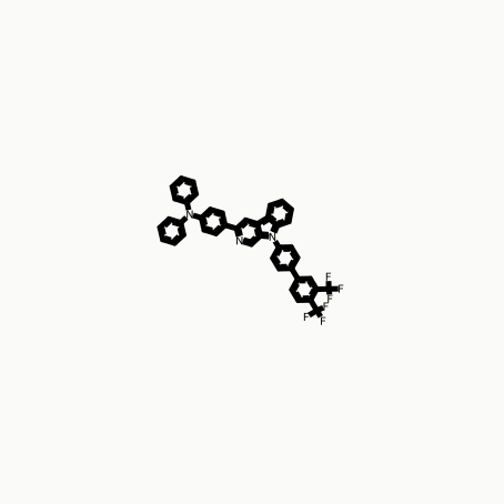 FC(F)(F)c1ccc(-c2ccc(-n3c4ccccc4c4cc(-c5ccc(N(c6ccccc6)c6ccccc6)cc5)ncc43)cc2)cc1C(F)(F)F